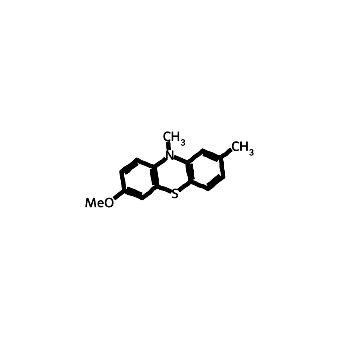 COc1ccc2c(c1)Sc1ccc(C)cc1N2C